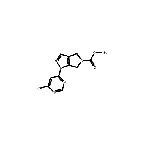 CC(C)(C)OC(=O)N1Cc2cnn(-c3cc(Cl)ncn3)c2C1